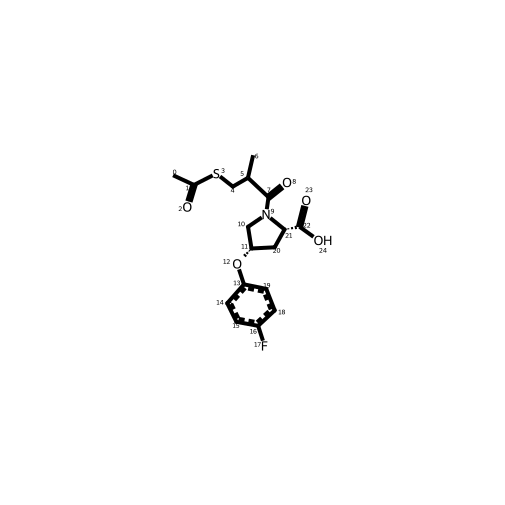 CC(=O)SCC(C)C(=O)N1C[C@@H](Oc2ccc(F)cc2)C[C@H]1C(=O)O